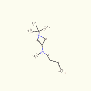 CCCCN(C)C1CN(C(C)(C)C)C1